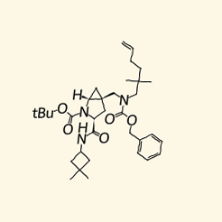 C=CCCC(C)(C)CN(C[C@@]12C[C@@H](C(=O)NC3CC(C)(C)C3)N(C(=O)OC(C)(C)C)[C@@H]1C2)C(=O)OCc1ccccc1